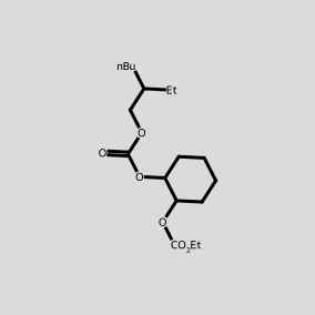 CCCCC(CC)COC(=O)OC1CCCCC1OC(=O)OCC